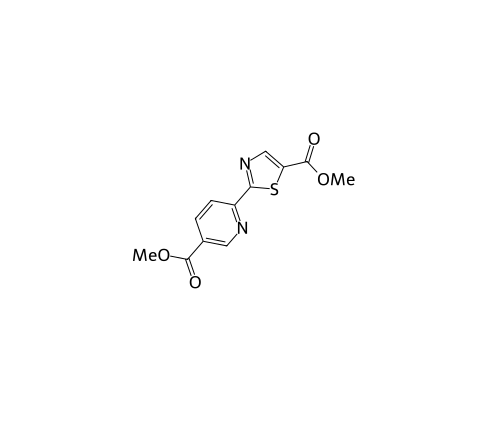 COC(=O)c1ccc(-c2ncc(C(=O)OC)s2)nc1